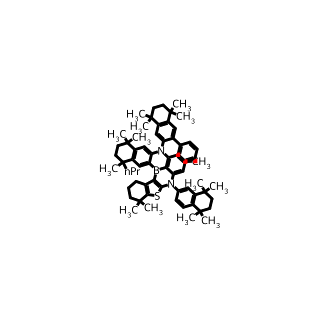 CCCC1(C)CCC(C)(C)c2cc3c(cc21)B1c2c(cc(C)cc2N(c2ccc4c(c2)C(C)(C)CCC4(C)C)c2sc4c(c21)CCCC4(C)C)N3c1cc2c(cc1-c1ccccc1)C(C)(C)CCC2(C)C